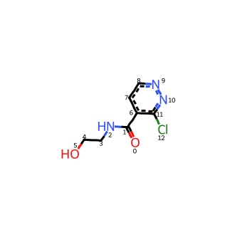 O=C(NCCO)c1ccnnc1Cl